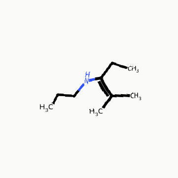 CCCNC(CC)=C(C)C